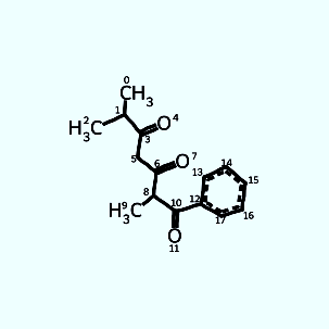 CC(C)C(=O)CC(=O)C(C)C(=O)c1ccccc1